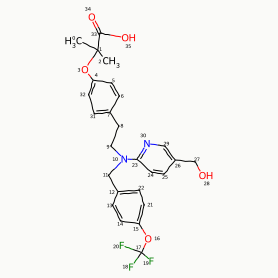 CC(C)(Oc1ccc(CCN(Cc2ccc(OC(F)(F)F)cc2)c2ccc(CO)cn2)cc1)C(=O)O